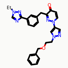 CCn1cnc(-c2cccc(Cc3nn(-c4cnn(CCOCc5ccccc5)c4)ccc3=O)c2)n1